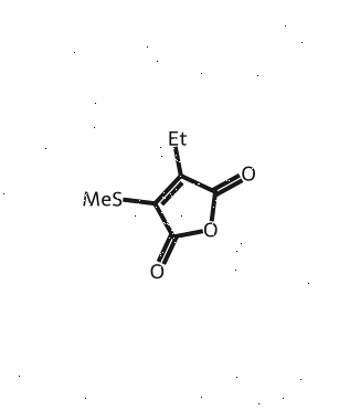 CCC1=C(SC)C(=O)OC1=O